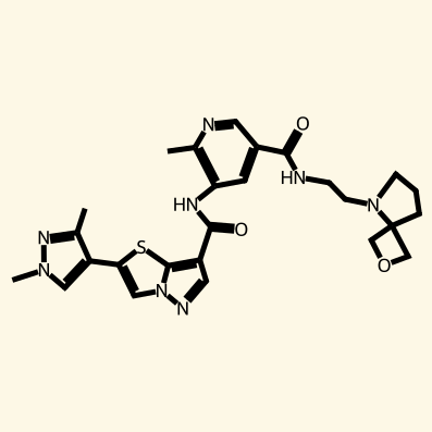 Cc1ncc(C(=O)NCCN2CCCC23COC3)cc1NC(=O)c1cnn2cc(-c3cn(C)nc3C)sc12